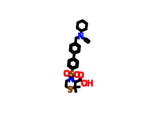 C#CN(Cc1ccc(-c2ccc(S(=O)(=O)N3CCSC(C)(C)C3C(=O)O)cc2)cc1)C1CCCCC1